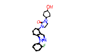 O=C1N(c2cccc3c2cnn3-c2ccccc2F)CCN1C1CCC(O)CC1